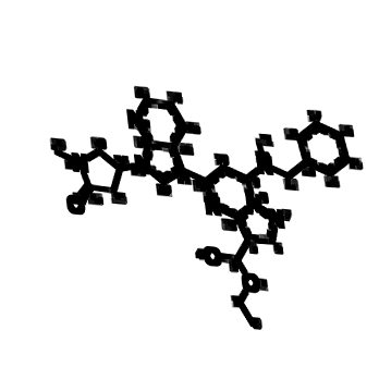 CCOC(=O)c1cnn2c(N(C)Cc3ccccc3)cc(-c3cn(C4CC(=O)N(C)C4)c4ncccc34)nc12